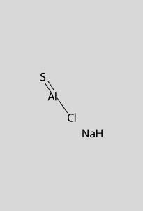 [NaH].[S]=[Al][Cl]